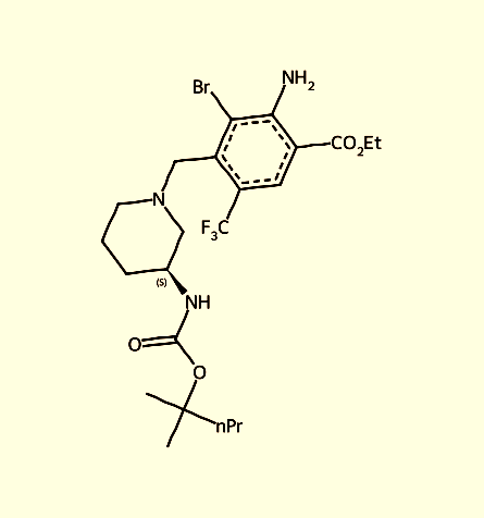 CCCC(C)(C)OC(=O)N[C@H]1CCCN(Cc2c(C(F)(F)F)cc(C(=O)OCC)c(N)c2Br)C1